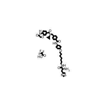 N[C@@H](Cc1cscn1)C(=O)NCCCCCCCOc1ccc(NC(=O)c2ccc(CN(C(=O)c3ccc4c(c3)OCC(=O)N4)C3CC3)cc2)cc1.O=C(O)C(F)(F)F